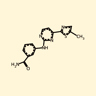 Cc1cnc(-c2ccnc(Nc3cccc(C(N)=O)c3)n2)s1